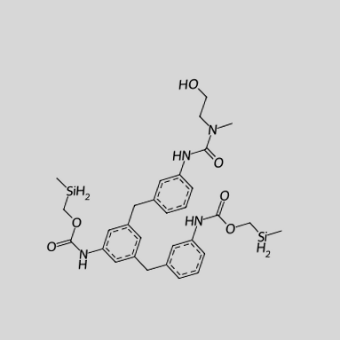 C[SiH2]COC(=O)Nc1cccc(Cc2cc(Cc3cccc(NC(=O)N(C)CCO)c3)cc(NC(=O)OC[SiH2]C)c2)c1